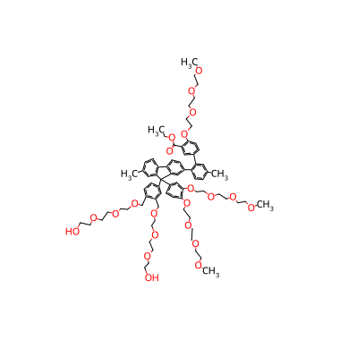 CCOC(=O)c1cc(-c2cc(C)ccc2-c2ccc3c(c2)C(c2ccc(COCCOCCOCCO)c(COCCOCCOCCO)c2)(c2ccc(OCCOCCOCCOC)c(OCCOCCOCCOC)c2)c2cc(C)ccc2-3)ccc1OCCOCCOCCOC